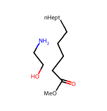 CCCCCCCCCCCC(=O)OC.NCCO